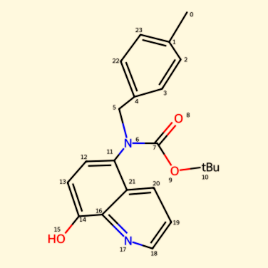 Cc1ccc(CN(C(=O)OC(C)(C)C)c2ccc(O)c3ncccc23)cc1